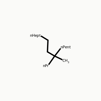 CCCCCCCCCC(C)(CCC)CCCCC